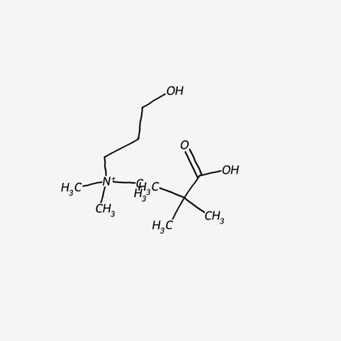 CC(C)(C)C(=O)O.C[N+](C)(C)CCCO